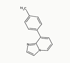 Cc1ccc(-c2cccn3ccnc23)cc1